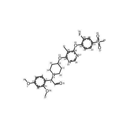 COc1ccc(C(C=O)N2CCC(Oc3ncnc(Oc4ccc(S(C)(=O)=O)cc4F)c3C)CC2)c(OC)c1